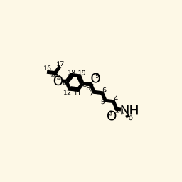 CNC(=O)CCCCC(=O)c1ccc(OC(C)C)cc1